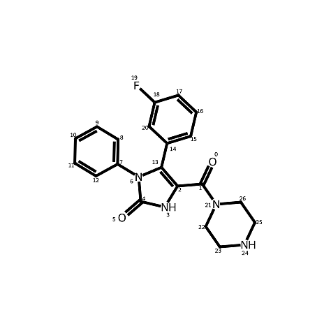 O=C(c1[nH]c(=O)n(-c2ccccc2)c1-c1cccc(F)c1)N1CCNCC1